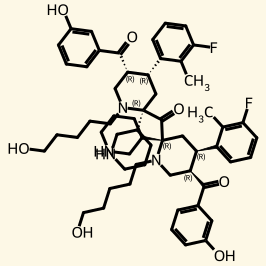 Cc1c(F)cccc1[C@@H]1C[C@](C(=O)[C@]2(C3CCCNC3)C[C@@H](c3cccc(F)c3C)[C@@H](C(=O)c3cccc(O)c3)CN2CCCCCO)(C2CCCNC2)N(CCCCCO)C[C@@H]1C(=O)c1cccc(O)c1